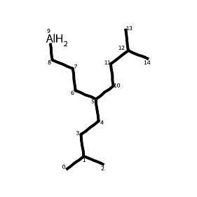 CC(C)CCC(CC[CH2][AlH2])CCC(C)C